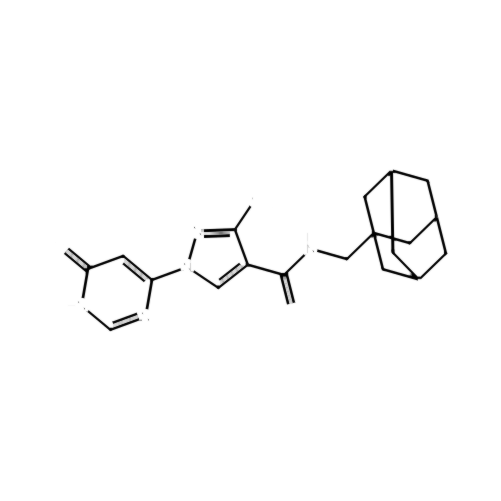 O=C(NCC12CC3CC(CC(C3)C1)C2)c1cn(-c2cc(=O)[nH]cn2)nc1C(F)(F)F